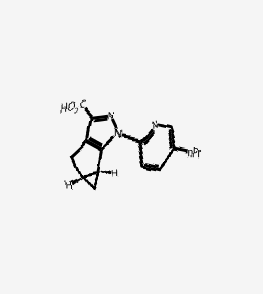 CCCc1ccc(-n2nc(C(=O)O)c3c2[C@@H]2C[C@@H]2C3)nc1